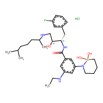 CCNc1cc(C(=O)N[C@@H](Cc2cccc(F)c2)[C@@H](O)CNC(C)CCCC(C)C)cc(N2CCCCS2(O)O)c1.Cl